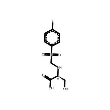 O=C(O)[C@H](CO)NCS(=O)(=O)c1ccc(F)cc1